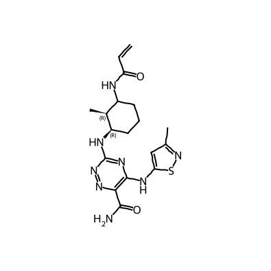 C=CC(=O)NC1CCC[C@@H](Nc2nnc(C(N)=O)c(Nc3cc(C)ns3)n2)[C@H]1C